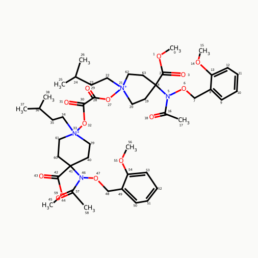 COC(=O)C1(N(OCc2ccccc2OC)C(C)=O)CC[N+](CCC(C)C)(OC(=O)C(=O)O[N+]2(CCC(C)C)CCC(C(=O)OC)(N(OCc3ccccc3OC)C(C)=O)CC2)CC1